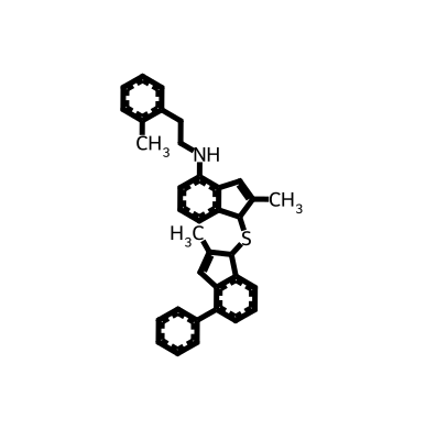 CC1=Cc2c(NCCc3ccccc3C)cccc2C1SC1C(C)=Cc2c(-c3ccccc3)cccc21